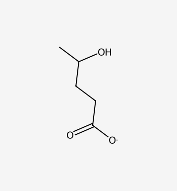 CC(O)CCC([O])=O